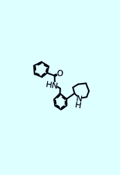 O=C(NCc1ccccc1C1CCCCCN1)c1ccccc1